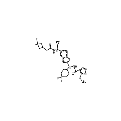 CC(C)(C)Oc1nonc1C(=O)N[C@H](c1cn2ncc([C@H](NC(=O)CC3CC(F)(F)C3)C3CC3)cc2n1)C1CCC(F)(F)CC1